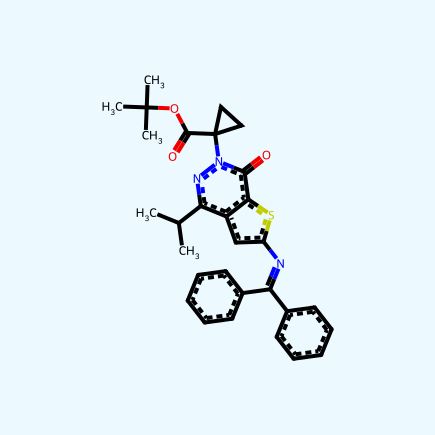 CC(C)c1nn(C2(C(=O)OC(C)(C)C)CC2)c(=O)c2sc(N=C(c3ccccc3)c3ccccc3)cc12